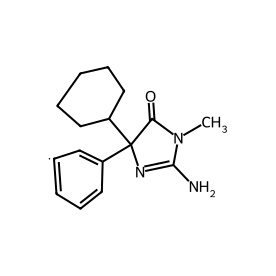 CN1C(=O)C(c2c[c]ccc2)(C2CCCCC2)N=C1N